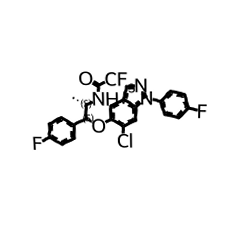 C[C@H](NC(=O)C(F)(F)F)[C@@H](Oc1cc2cnn(-c3ccc(F)cc3)c2cc1Cl)c1ccc(F)cc1